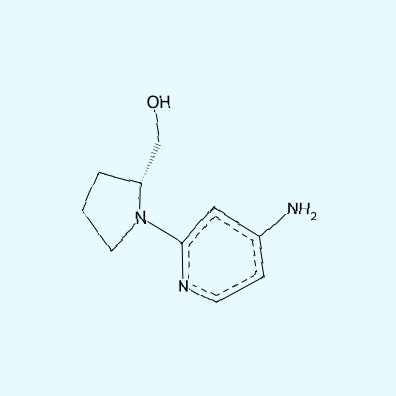 Nc1ccnc(N2CCC[C@@H]2CO)c1